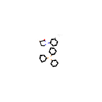 COc1cccc(N2CCC(Br)C2=O)c1.c1ccc(P(c2ccccc2)c2ccccc2)cc1